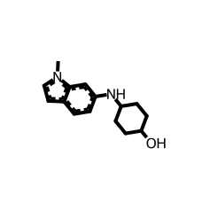 Cn1ccc2ccc(NC3CCC(O)CC3)cc21